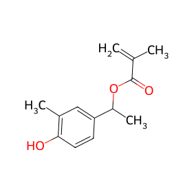 C=C(C)C(=O)OC(C)c1ccc(O)c(C)c1